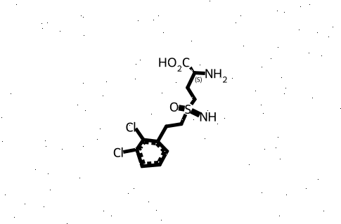 N=S(=O)(CCc1cccc(Cl)c1Cl)CC[C@H](N)C(=O)O